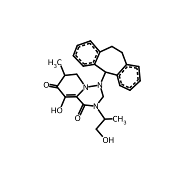 CC1CN2C(=C(O)C1=O)C(=O)N(C(C)CO)CN2C1c2ccccc2CCc2ccccc21